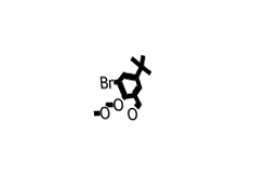 COCOc1c(Br)cc(C(C)(C)C)cc1C=O